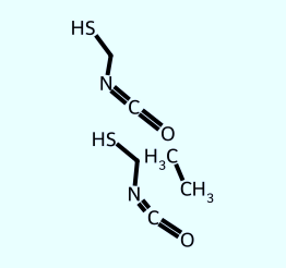 CC.O=C=NCS.O=C=NCS